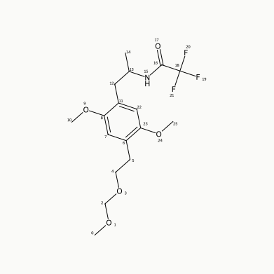 COCOCCc1cc(OC)c(CC(C)NC(=O)C(F)(F)F)cc1OC